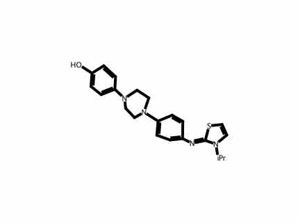 CC(C)n1ccs/c1=N\c1ccc(N2CCN(c3ccc(O)cc3)CC2)cc1